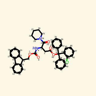 O=C(CC(NC(=O)OCC1c2ccccc2-c2ccccc21)C(=O)N1CCCCC1)OC(c1ccccc1)(c1ccccc1)c1ccccc1Cl